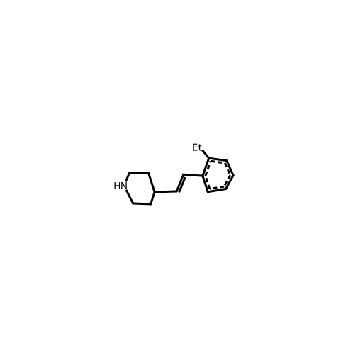 CCc1ccccc1/C=C/C1CCNCC1